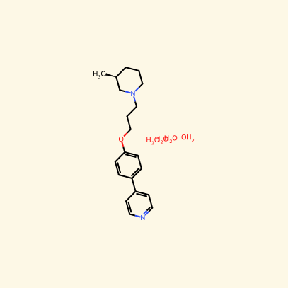 C[C@H]1CCCN(CCCOc2ccc(-c3ccncc3)cc2)C1.O.O.O.O